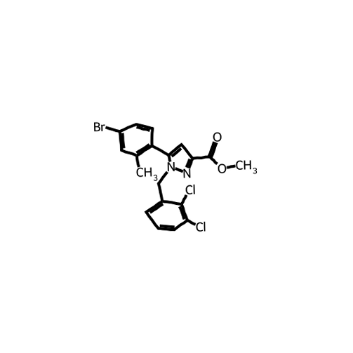 COC(=O)c1cc(-c2ccc(Br)cc2C)n(Cc2cccc(Cl)c2Cl)n1